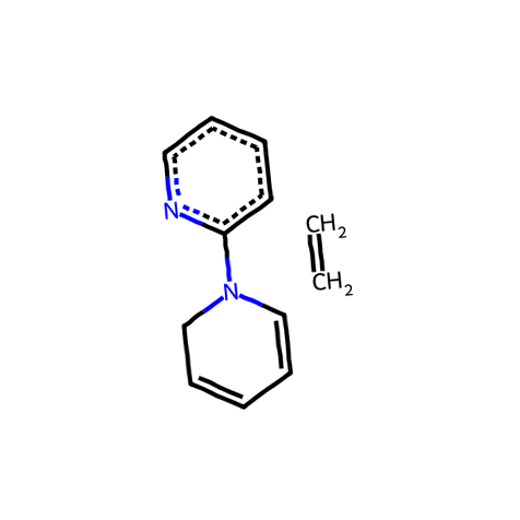 C1=CCN(c2ccccn2)C=C1.C=C